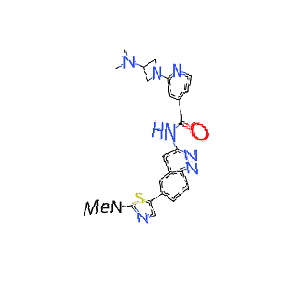 CNc1ncc(-c2ccc3nnc(NC(=O)c4ccnc(N5CC(N(C)C)C5)c4)cc3c2)s1